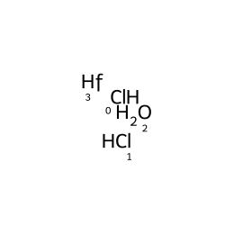 Cl.Cl.O.[Hf]